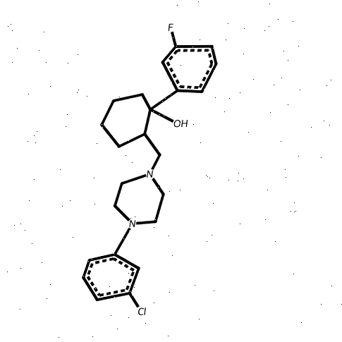 OC1(c2cccc(F)c2)CCCCC1CN1CCN(c2cccc(Cl)c2)CC1